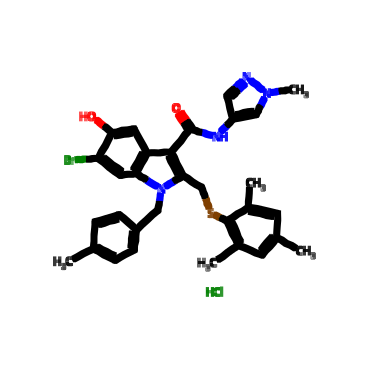 Cc1ccc(Cn2c(CSc3c(C)cc(C)cc3C)c(C(=O)Nc3cnn(C)c3)c3cc(O)c(Br)cc32)cc1.Cl